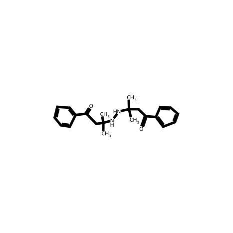 CC(C)(CC(=O)c1ccccc1)NNC(C)(C)CC(=O)c1ccccc1